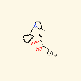 CC1CCN(Cc2ccccc2)C1/C=C/[C@@H](O)C[C@@H](O)CC(=O)O